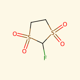 O=S1(=O)CCS(=O)(=O)C1F